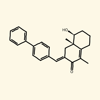 CC1=C2CCC[C@H](O)[C@@]2(C)C/C(=C\c2ccc(-c3ccccc3)cc2)C1=O